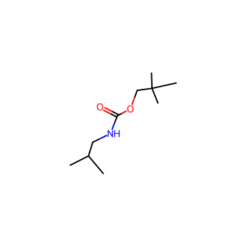 CC(C)CNC(=O)OCC(C)(C)C